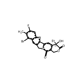 CC[C@@]1(O)C(=O)OCc2c1cc1n(c2=O)Cc2cc3c(Br)c(C)c(F)cc3nc2-1